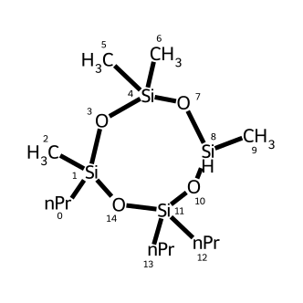 CCC[Si]1(C)O[Si](C)(C)O[SiH](C)O[Si](CCC)(CCC)O1